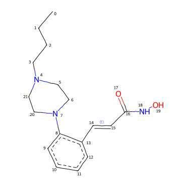 CCCCN1CCN(c2ccccc2/C=C/C(=O)NO)CC1